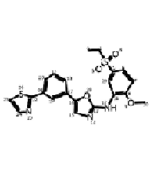 CCS(=O)(=O)c1ccc(OC)c(Nc2ncc(-c3cccc(-c4nccs4)c3)o2)c1